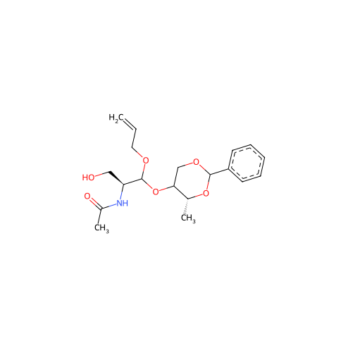 C=CCOC(OC1COC(c2ccccc2)O[C@@H]1C)[C@H](CO)NC(C)=O